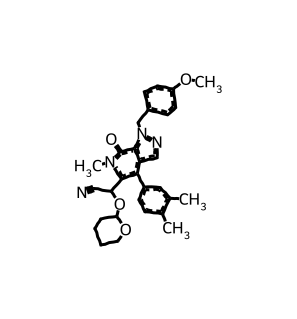 COc1ccc(Cn2ncc3c(-c4ccc(C)c(C)c4)c(C(C#N)OC4CCCCO4)n(C)c(=O)c32)cc1